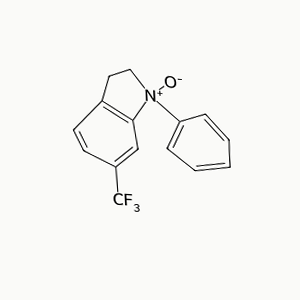 [O-][N+]1(c2ccccc2)CCc2ccc(C(F)(F)F)cc21